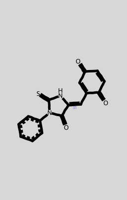 O=C1C=CC(=O)C(/C=C2\NC(=S)N(c3ccccc3)C2=O)=C1